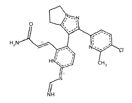 Cc1nc(-c2nn3c(c2-c2cc/c(=N/C=N)[nH]c2/C=C/C(N)=O)CCC3)ccc1Cl